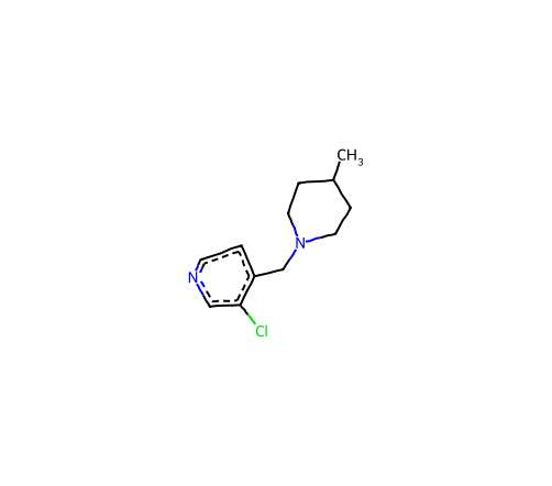 CC1CCN(Cc2ccncc2Cl)CC1